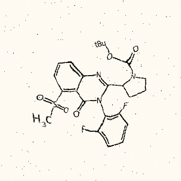 CC(C)(C)OC(=O)N1CCCC1c1nc2cccc(S(C)(=O)=O)c2c(=O)n1-c1c(F)cccc1F